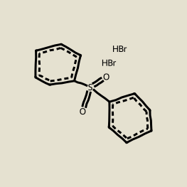 Br.Br.O=S(=O)(c1ccccc1)c1ccccc1